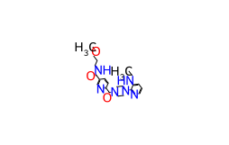 CCNc1cccnc1N1CCN(C(=O)c2ccc(C(=O)NCCCOC)cn2)CC1